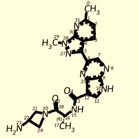 Cc1ccc2c(-c3cnc4[nH]cc(C(=O)N[C@H](C)C(=O)N5CC(N)C5)c4n3)nn(C)c2n1